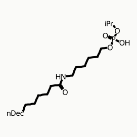 CCCCCCCCCCCCCCCC(=O)NCCCCCCOP(=O)(O)OC(C)C